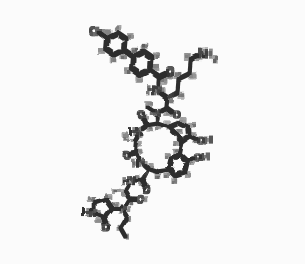 CCCN(C(=O)[C@H](C)NC(=O)[C@@H]1Cc2ccc(O)c(c2)-c2cc(ccc2O)[C@H](N(C)C(=O)[C@H](CCCCN)NC(=O)c2ccc(-c3ccc(Cl)cc3)cc2)C(=O)N[C@@H](C)C(=O)N1)C1CCNC1=O